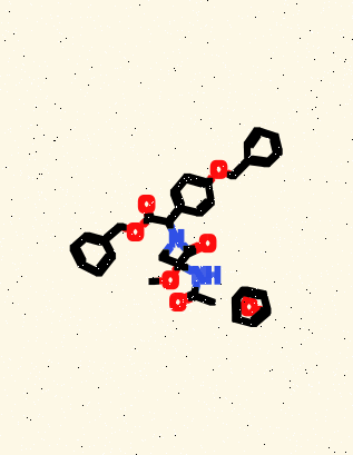 COC1(NC(C)=O)CN(C(C(=O)OCc2ccccc2)c2ccc(OCc3ccccc3)cc2)C1=O.c1cc2cc(c1)O2